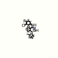 Cc1nnnn1Cc1nonc1/C(=N\O)Nc1ccc(F)c(Cl)c1